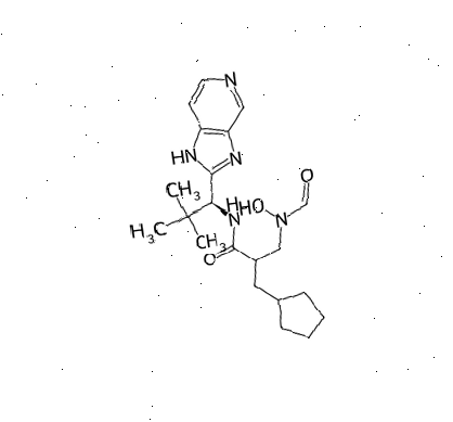 CC(C)(C)[C@H](NC(=O)C(CC1CCCC1)CN(O)C=O)c1nc2cnccc2[nH]1